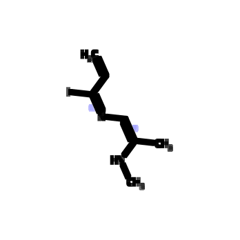 C=C/C(I)=N\C=C(\C)NC